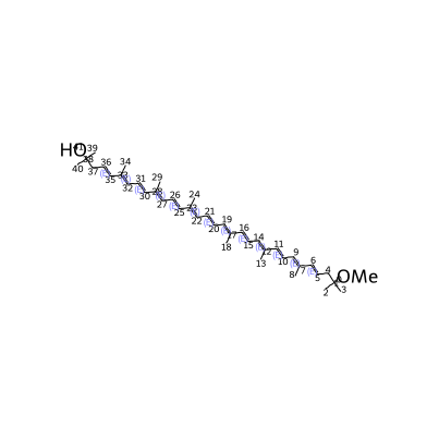 COC(C)(C)C/C=C/C(C)=C/C=C/C(C)=C/C=C/C(C)=C/C=C/C=C(C)/C=C/C=C(C)/C=C/C=C(C)/C=C/CC(C)(C)O